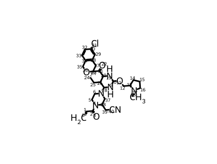 C=CC(=O)N1CCN(C2NC(OCC3CCCN3C)NC3C(=O)[C@]4(CCC32)Cc2cc(Cl)ccc2CO4)CC1CC#N